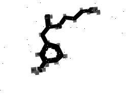 CCCCSC(=O)Cc1cccc(N)c1